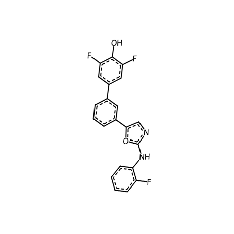 Oc1c(F)cc(-c2cccc(-c3cnc(Nc4ccccc4F)o3)c2)cc1F